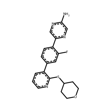 Nc1cnc(-c2ccc(-c3cccnc3SC3CCOCC3)cc2F)cn1